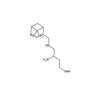 CSCCC(N)CNCC1CCC2CC1C2(C)C